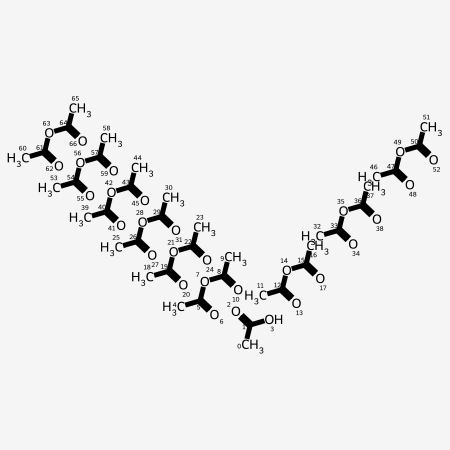 CC(=O)O.CC(=O)OC(C)=O.CC(=O)OC(C)=O.CC(=O)OC(C)=O.CC(=O)OC(C)=O.CC(=O)OC(C)=O.CC(=O)OC(C)=O.CC(=O)OC(C)=O.CC(=O)OC(C)=O.CC(=O)OC(C)=O